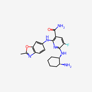 Cc1nc2ccc(Nc3nc(N[C@@H]4CCCC[C@@H]4N)c(F)cc3C(N)=O)cc2o1